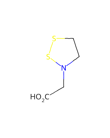 O=C(O)CN1CCSS1